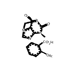 CC(=O)Oc1ccccc1C(=O)O.Cn1c(=O)n2c(=O)c3c1ncn3C2